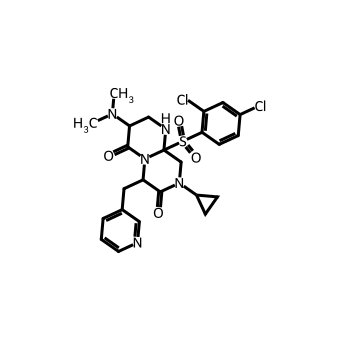 CN(C)C1CNC2(S(=O)(=O)c3ccc(Cl)cc3Cl)CN(C3CC3)C(=O)C(Cc3cccnc3)N2C1=O